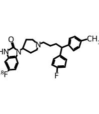 Cc1ccc(C(CCCN2CCC(n3c(=O)[nH]c4cc([18F])ccc43)CC2)c2ccc(F)cc2)cc1